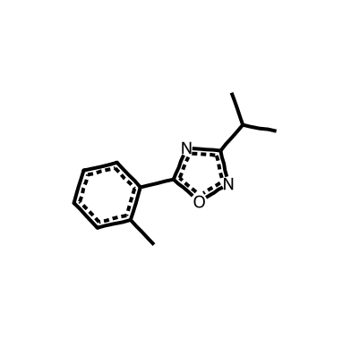 Cc1ccccc1-c1nc(C(C)C)no1